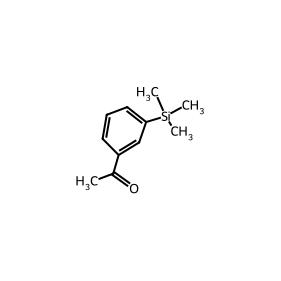 CC(=O)c1cccc([Si](C)(C)C)c1